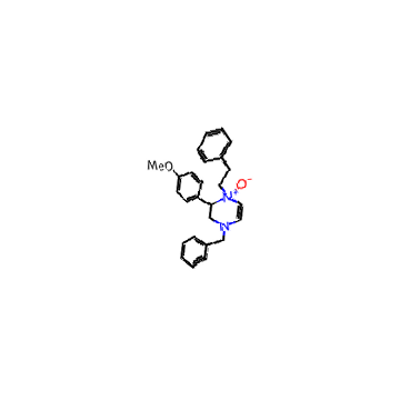 COc1ccc(C2CN(Cc3ccccc3)C=C[N+]2([O-])CCc2ccccc2)cc1